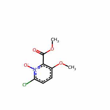 COC(=O)c1c(OC)ccc(Cl)[n+]1[O-]